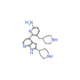 Nc1ccc(CC2CCNCC2)c(-c2ccnc3[nH]c(C4CCNCC4)cc23)n1